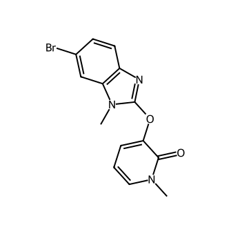 Cn1cccc(Oc2nc3ccc(Br)cc3n2C)c1=O